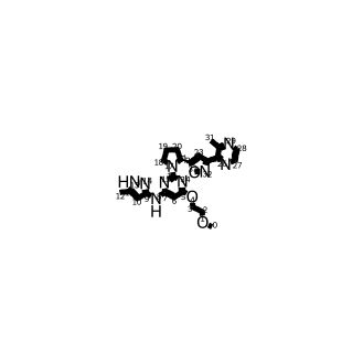 COCCOc1cc(Nc2cc(C)[nH]n2)nc(N2CCC[C@H]2c2cc(-c3nccnc3C)no2)n1